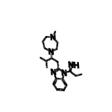 CCC(=N)n1c(CC(C(C)C)N2CCCN(C)CC2)nc2ccccc21